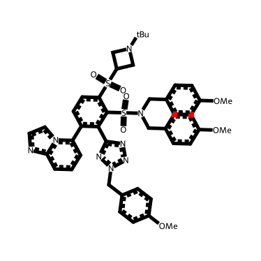 COc1ccc(CN(Cc2ccc(OC)cc2)S(=O)(=O)c2c(S(=O)(=O)C3CN(C(C)(C)C)C3)ccc(-c3cccc4nccn34)c2-c2nnn(Cc3ccc(OC)cc3)n2)cc1